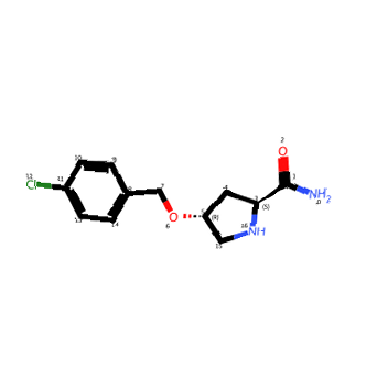 NC(=O)[C@@H]1C[C@@H](OCc2ccc(Cl)cc2)CN1